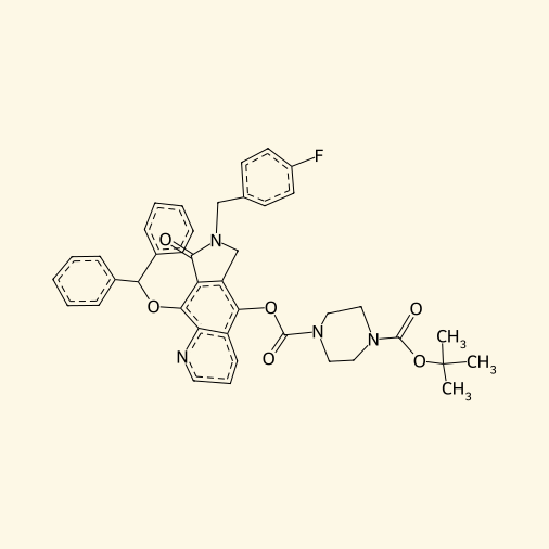 CC(C)(C)OC(=O)N1CCN(C(=O)Oc2c3c(c(OC(c4ccccc4)c4ccccc4)c4ncccc24)C(=O)N(Cc2ccc(F)cc2)C3)CC1